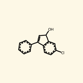 OC1C=C(c2ccccc2)c2ccc(Cl)cc21